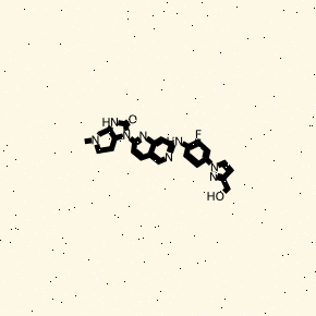 CN1CCC2C(C1)NC(=O)N2c1ccc2cnc(Nc3ccc(-n4ccc(CO)n4)cc3F)cc2n1